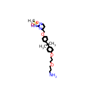 CC(C)(c1ccc(OCCCOCCCN)cc1)c1ccc(OCc2ccnc(NS(C)(=O)=O)n2)cc1